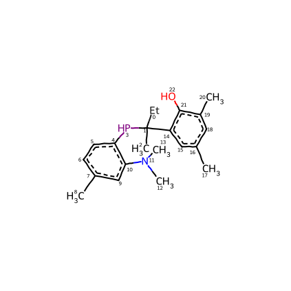 CCC(C)(Pc1ccc(C)cc1N(C)C)c1cc(C)cc(C)c1O